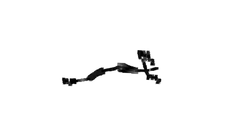 CC(P)(P)C#CC#CN